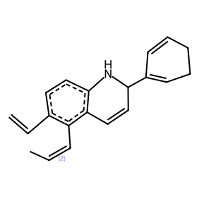 C=Cc1ccc2c(c1/C=C\C)C=CC(C1=CCCC=C1)N2